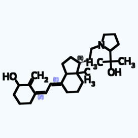 C=C1/C(=C\C=C2/CCCC3(C)C2CC[C@@H]3CCN2CCCC2C(C)(C)O)CCCC1O